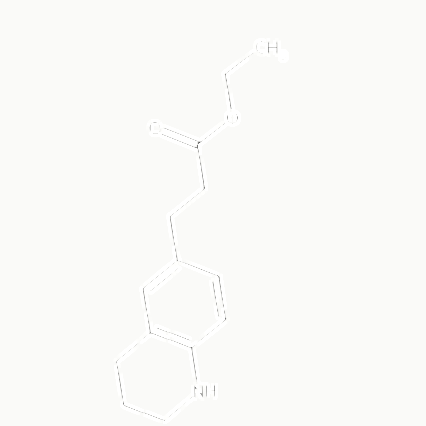 CCOC(=O)CCc1ccc2c(c1)CCCN2